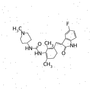 CC1=C(NC(=O)NC2CCN(C)CC2)C(C)=C(/C=C2\C(=O)Nc3ccc(F)cc32)CC1